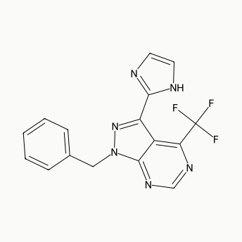 FC(F)(F)c1ncnc2c1c(-c1ncc[nH]1)nn2Cc1ccccc1